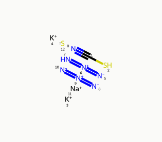 N#CS.[K+].[K+].[N-]=[N+]=N.[N-]=[N+]=[N-].[Na+].[S]